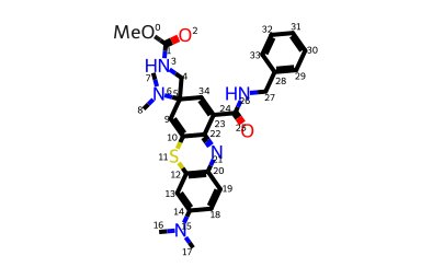 COC(=O)NCC1(N(C)C)C=C2Sc3cc(N(C)C)ccc3N=C2C(C(=O)NCc2ccccc2)=C1